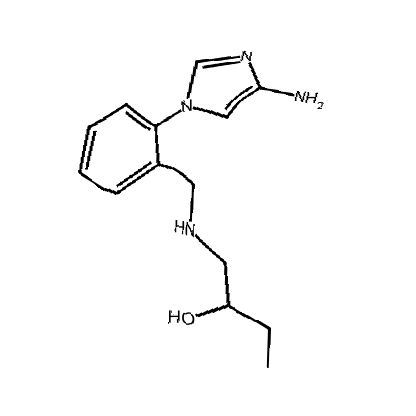 CCC(O)CNCc1ccccc1-n1cnc(N)c1